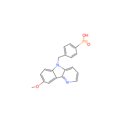 COc1ccc2c(c1)c1ncccc1n2Cc1ccc([PH](=O)O)cc1